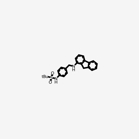 CC(C)(C)S(=O)(=O)Nc1ccc(CNc2cccc3c2Cc2ccccc2-3)cc1